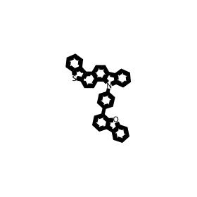 c1ccc2c(c1)oc1c(-c3ccc(-n4c5ccccc5c5ccc6c(ccc7sc8ccccc8c76)c54)cc3)cccc12